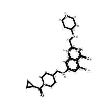 O=C(C1CC1)N1CCC(COc2cc(F)c3c(=O)[nH]c(CSC4CCOCC4)nc3c2)CC1